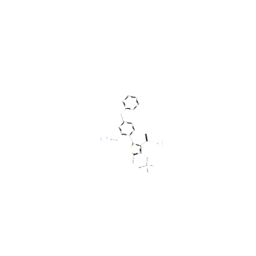 C=C(O)c1c(-c2ccc(Cc3ccccc3)cc2CN)sc2c1CC(C)(C)CC2